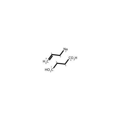 C=C[CH2][Na].O=C(O)CCC(=O)O